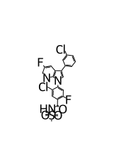 CS(=O)(=O)NC(=O)c1cc(Cl)c(-n2cc(-c3cccc(Cl)c3)c3cc(F)cnc32)cc1F